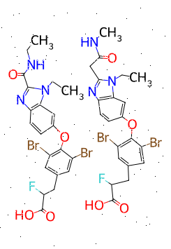 CCNC(=O)c1nc2ccc(Oc3c(Br)cc(CC(F)C(=O)O)cc3Br)cc2n1CC.CCn1c(CC(=O)NC)nc2ccc(Oc3c(Br)cc(CC(F)C(=O)O)cc3Br)cc21